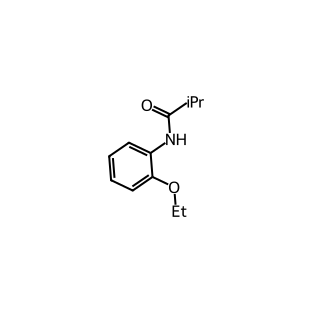 CCOc1ccccc1NC(=O)C(C)C